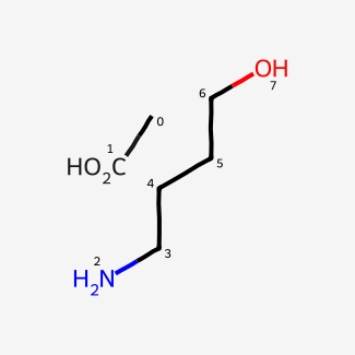 CC(=O)O.NCCCCO